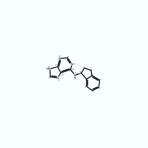 c1ccc2c(c1)CC[C@@H]2Nc1ncnc2[nH]cnc12